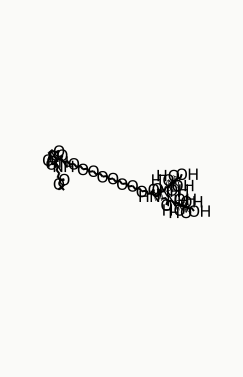 CC(C)(C)OC(=O)CCCNC(=O)C(C(=O)NCCOCCOCCOCCOCCOCCOCCOCCOCCC(=O)N[C@@H](CCC(=O)NC[C@H](O)[C@@H](O)[C@H](O)[C@H](O)CO)C(=O)NC[C@H](O)[C@@H](O)[C@H](O)[C@H](O)CO)N1C(=O)C=CC1=O